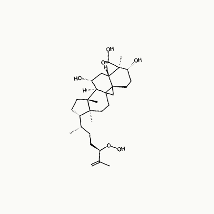 C=C(C)[C@@H](CC[C@H](C)[C@@H]1CC[C@]2(C)[C@H]3[C@H](O)C[C@@H]4[C@@](C)(C(=O)O)[C@H](O)CC[C@]45CC35CC[C@@]12C)OO